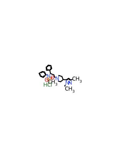 CCn1nc(C)cc1C1CCN(CCC(c2ccccc2)N(c2ccccc2)S(C)(=O)=O)CC1.Cl